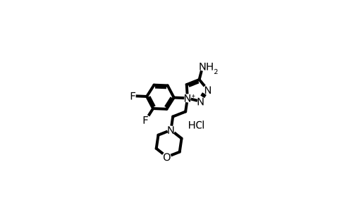 Cl.NC1=C[N+](CCN2CCOCC2)(c2ccc(F)c(F)c2)N=N1